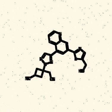 N#CCC1(n2ncc(-c3cc(-c4ncc(CO)s4)cc4ncccc34)n2)CC(C#N)C1